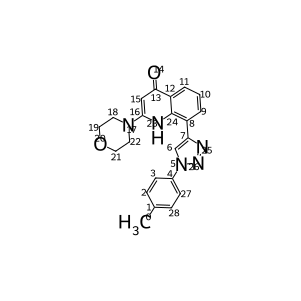 Cc1ccc(-n2cc(-c3cccc4c(=O)cc(N5CCOCC5)[nH]c34)nn2)cc1